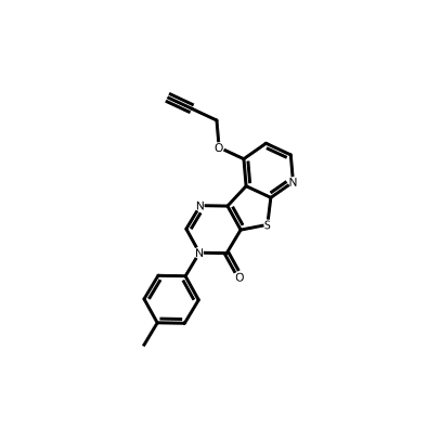 C#CCOc1ccnc2sc3c(=O)n(-c4ccc(C)cc4)cnc3c12